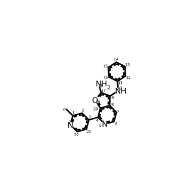 Cc1cc(-c2nccc3c(Nc4ccccc4)c(N)oc23)ccn1